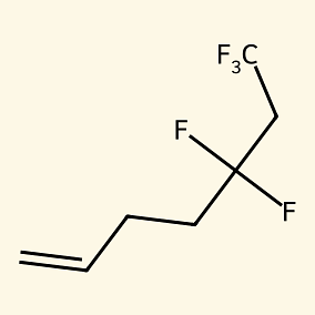 C=CCCC(F)(F)CC(F)(F)F